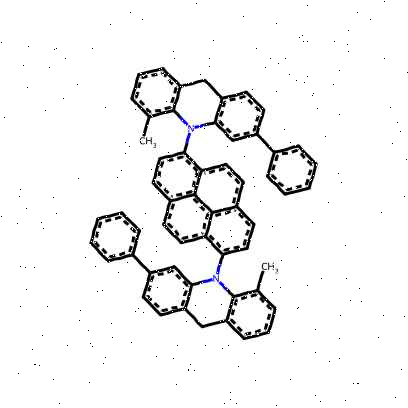 Cc1cccc2c1N(c1ccc3ccc4c(N5c6cc(-c7ccccc7)ccc6Cc6cccc(C)c65)ccc5ccc1c3c54)c1cc(-c3ccccc3)ccc1C2